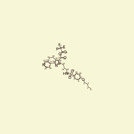 CCCCOc1ccc(S(=O)(=O)NCCCn2nc3c(c2C(=O)OC(=O)C(F)(F)F)CCc2cnccc2-3)cc1